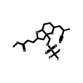 COC(=O)CCC1CC2(COS(=O)(=O)C(F)(F)F)OC(C[C@@H](C)C#N)CCC2O1